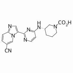 N#Cc1ccc2ncc(-c3nccc(N[C@H]4CCCN(C(=O)O)C4)n3)n2c1